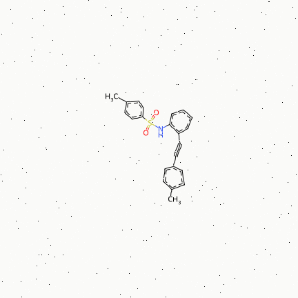 Cc1ccc(C#Cc2ccccc2NS(=O)(=O)c2ccc(C)cc2)cc1